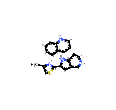 Cc1csc(-c2cc3cnccc3[nH]2)n1.c1ccc2ncccc2c1